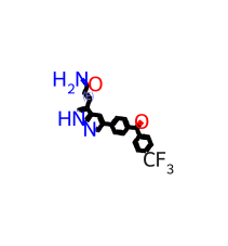 NC(=O)/C=C/c1c[nH]c2ncc(-c3ccc(C(=O)c4ccc(C(F)(F)F)cc4)cc3)cc12